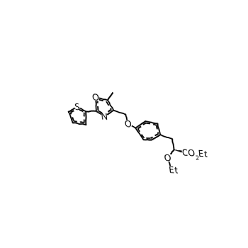 CCOC(=O)[C@H](Cc1ccc(OCc2nc(-c3cccs3)oc2C)cc1)OCC